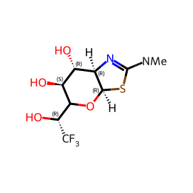 CNC1=N[C@@H]2[C@@H](O)[C@H](O)C([C@@H](O)C(F)(F)F)O[C@@H]2S1